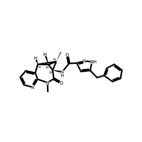 CN1C(=O)[C@]2(NC(=O)c3cc(Cc4ccccc4)[nH]n3)[C@@H]3[C@H](c4cccnc41)[C@]32C